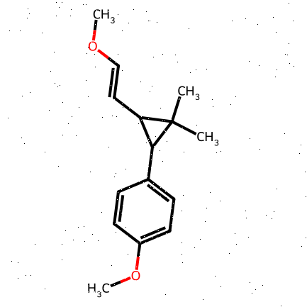 CO/C=C/C1C(c2ccc(OC)cc2)C1(C)C